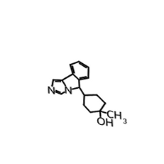 CC1(O)CCC(C2c3ccccc3-c3cncn32)CC1